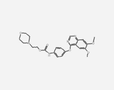 COc1cc2ncnc(Oc3ccc(NC(=O)OCCN4CCOCC4)cc3)c2cc1OC